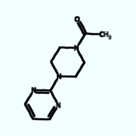 CC(=O)N1CCN(c2ncccn2)CC1